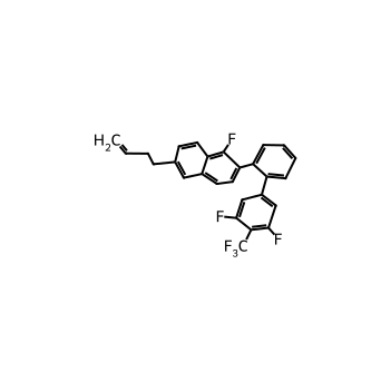 C=CCCc1ccc2c(F)c(-c3ccccc3-c3cc(F)c(C(F)(F)F)c(F)c3)ccc2c1